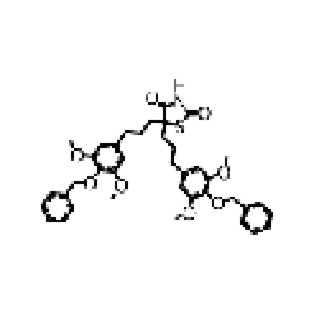 COc1cc(CCCC2(CCCc3cc(OC)c(OCc4ccccc4)c(OC)c3)SC(=O)NC2=O)cc(OC)c1OCc1ccccc1